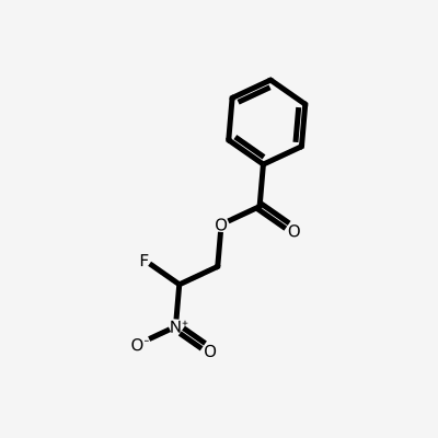 O=C(OCC(F)[N+](=O)[O-])c1ccccc1